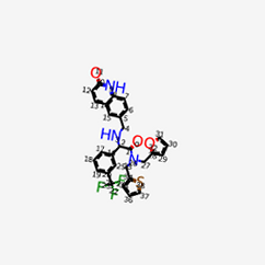 O=C(C(NCc1ccc2[nH]c(=O)ccc2c1)c1cccc(C(F)(F)F)c1)N(Cc1ccco1)Cc1cccs1